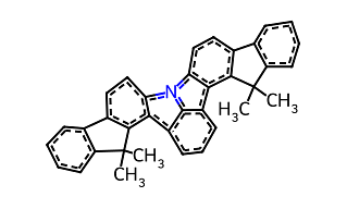 CC1(C)c2ccccc2-c2ccc3c(c21)c1cccc2c4c5c(ccc4n3c12)-c1ccccc1C5(C)C